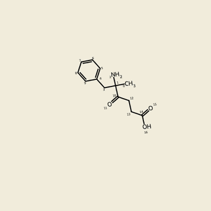 CC(N)(Cc1ccccc1)C(=O)CCC(=O)O